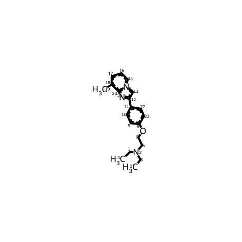 CCN(CC)CCOc1ccc(-c2cn3cccc(C)c3n2)cc1